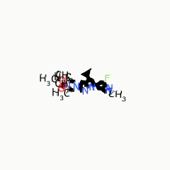 C[C@H]1CN(c2cnc3nc(-c4cc(F)c5nn(C)cc5c4)cc(C4CC4)c3c2)C[C@H](C)N1C(=O)OC(C)(C)C